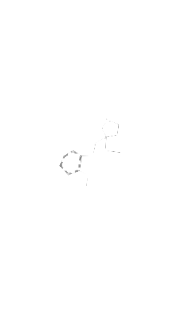 CCOc1ccccc1OCC1(OCC)CCNC1